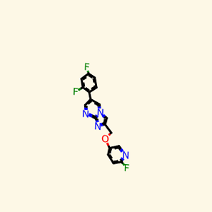 Fc1ccc(-c2cnc3nc(COc4ccc(F)nc4)cn3c2)c(F)c1